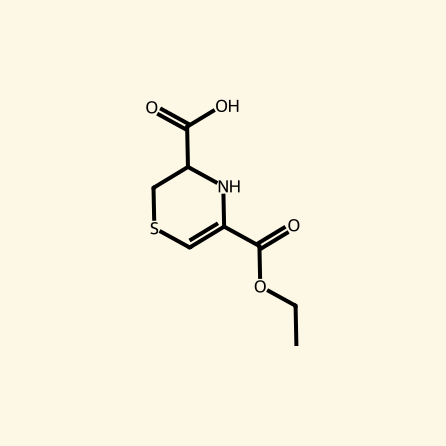 CCOC(=O)C1=CSCC(C(=O)O)N1